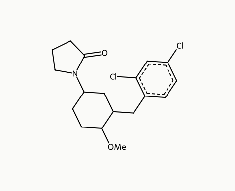 COC1CCC(N2CCCC2=O)CC1Cc1ccc(Cl)cc1Cl